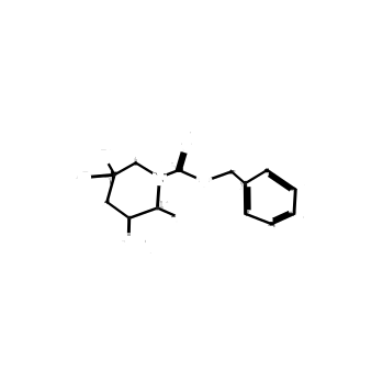 CCOC(=O)C1CC(F)(F)CN(C(=O)OCc2ccccc2)C1C